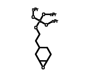 CCCO[Si](OCCC)(OCCC)OCCC1CCC2OC2C1